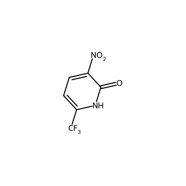 O=c1[nH]c(C(F)(F)F)ccc1[N+](=O)[O-]